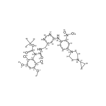 COc1cc(OC)c(Cl)c(N(C(=O)NCc2cc(Nc3ccc(N4CCN(C5CC5)CC4)cc3[N+](=O)[O-])ncn2)C(=O)OC(C)(C)C)c1Cl